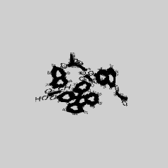 CCC(O)(Oc1ccc(C2(c3ccc(OC(CC)(OCC4CO4)Oc4ccc5cc(OCC6CO6)ccc5c4)cc3)c3ccccc3-c3ccccc32)cc1)Oc1ccc2cc(OCC3CO3)ccc2c1